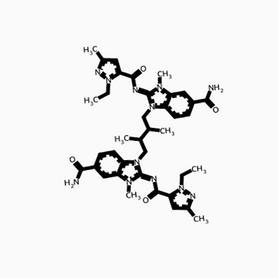 CCn1nc(C)cc1C(=O)/N=c1\n(C)c2cc(C(N)=O)ccc2n1CC(C)C(C)Cn1/c(=N/C(=O)c2cc(C)nn2CC)n(C)c2cc(C(N)=O)ccc21